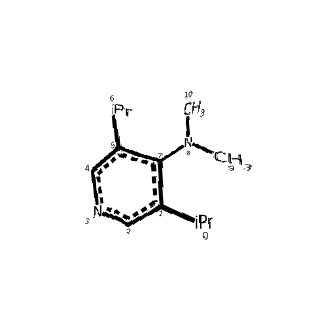 CC(C)c1cncc(C(C)C)c1N(C)C